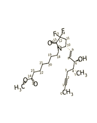 CC#CC[C@@H](C)[C@H](O)/C=C/[C@H]1CC(F)(F)C(=O)N1CCCCCCC(=O)OC